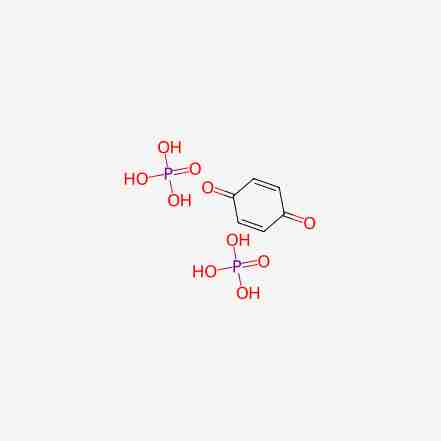 O=C1C=CC(=O)C=C1.O=P(O)(O)O.O=P(O)(O)O